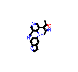 Cc1noc(C)c1-c1cncc(C#N)c1Nc1ccc2[nH]ccc2c1